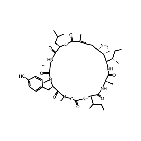 CCC(C)C1NC(=O)CN(C)C(=O)[C@@H](Cc2ccc(O)cc2)N(C)C(=O)[C@H](C)NC(=O)[C@@H](CC(C)C)OC(=O)/C(C)=C/C[C@H](N)[C@H](C)[C@@H]([C@@H](C)CC)NC(=O)[C@@H](C)NC1=O